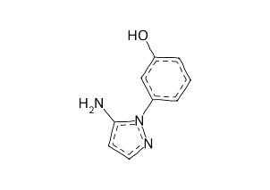 Nc1ccnn1-c1cccc(O)c1